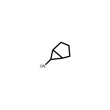 O=NC1C2CCCC21